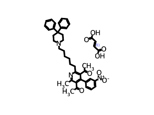 CC(=O)c1c(C)nc(CCCCCCN2CCC(c3ccccc3)(c3ccccc3)CC2)c(C(C)=O)c1-c1cccc([N+](=O)[O-])c1.O=C(O)/C=C/C(=O)O